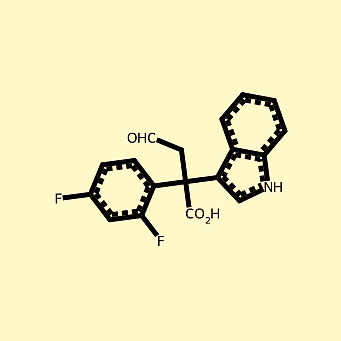 O=CCC(C(=O)O)(c1ccc(F)cc1F)c1c[nH]c2ccccc12